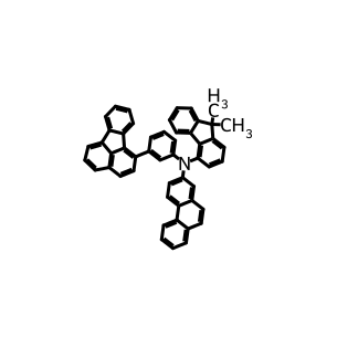 CC1(C)c2ccccc2-c2c(N(c3cccc(-c4ccc5cccc6c5c4-c4ccccc4-6)c3)c3ccc4c(ccc5ccccc54)c3)cccc21